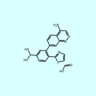 Nc1cnnc2cc(-c3cc(B(O)O)ccc3-c3ncco3)ccc12.O=CO